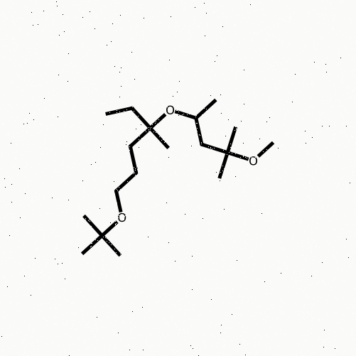 CCC(C)(CCCOC(C)(C)C)OC(C)CC(C)(C)OC